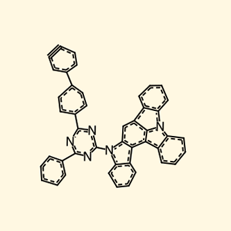 c1ccc(-c2ccc(-c3nc(-c4ccccc4)nc(-n4c5ccccc5c5c6c7ccccc7n7c8ccccc8c(cc54)c67)n3)cc2)cc#1